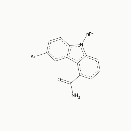 CCCn1c2ccc(C(C)=O)cc2c2c(C(N)=O)cccc21